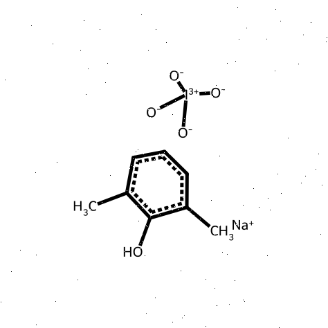 Cc1cccc(C)c1O.[Na+].[O-][I+3]([O-])([O-])[O-]